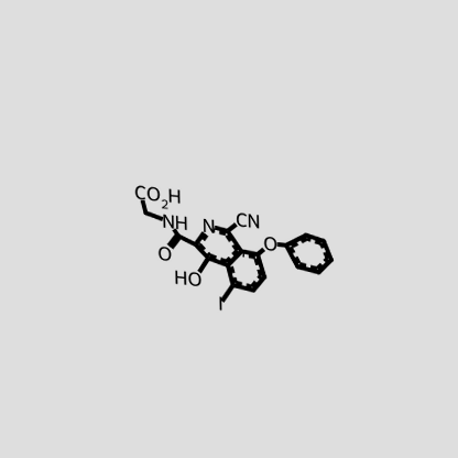 N#Cc1nc(C(=O)NCC(=O)O)c(O)c2c(I)ccc(Oc3ccccc3)c12